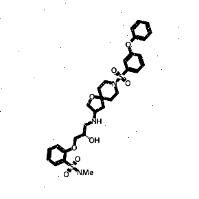 CNS(=O)(=O)c1ccccc1OC[C@@H](O)CNC1COC2(CCN(S(=O)(=O)c3cccc(Oc4ccccc4)c3)CC2)C1